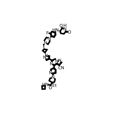 CCC1(C(=O)NC2CCC2)CCN(c2ccc(-c3nc(-c4cnn([C@H]5C[C@H](CN6CCN(c7ccc(N[C@H]8CCC(=O)NC8=O)cc7F)CC6)C5)c4)cn4ncc(C#N)c34)cn2)CC1